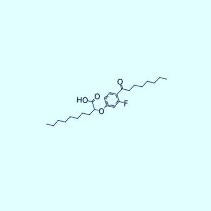 CCCCCCCCC(Oc1ccc(C(=O)CCCCCCC)c(F)c1)C(=O)O